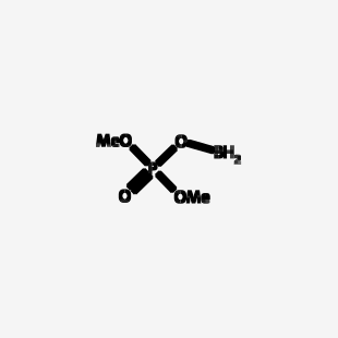 BOP(=O)(OC)OC